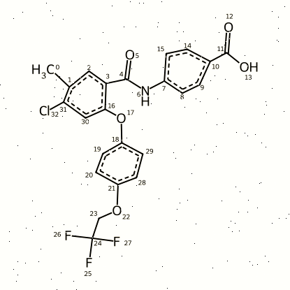 Cc1cc(C(=O)Nc2ccc(C(=O)O)cc2)c(Oc2ccc(OCC(F)(F)F)cc2)cc1Cl